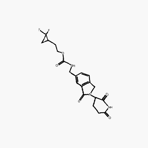 O=C1CCC(N2Cc3ccc(CNC(=O)OCCC4CC4(F)F)cc3C2=O)C(=O)N1